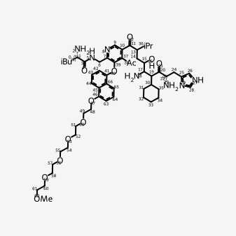 CC[C@H](C)[C@H](N)C(=O)NCc1ncc(C(=O)C(CC(O)C(N)C(C(=O)[C@@H](N)Cc2c[nH]cn2)C2CCCCC2)C(C)C)c(C(C)=O)c1Oc1cccc2c(OCCOCCOCCOCCOCCOC)cccc12